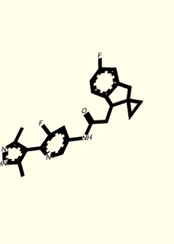 Cc1n[nH]c(C)c1-c1ncc(NC(=O)CC2c3ccc(F)cc3CC23CC3)cc1F